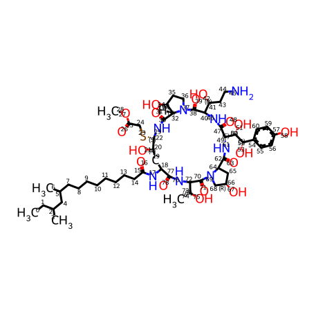 CCC(C)CC(C)CCCCCCCCC(=O)NC1C[C@@H](O)[C@H](SCC(=O)OC)NC(=O)[C@@H]2[C@@H](O)CCN2C(=O)C([C@H](O)CCN)NC(=O)[C@H]([C@H](O)[C@@H](O)c2ccc(O)cc2)NC(=O)C2C[C@@H](O)CN2C(=O)C([C@@H](C)O)NC1=O